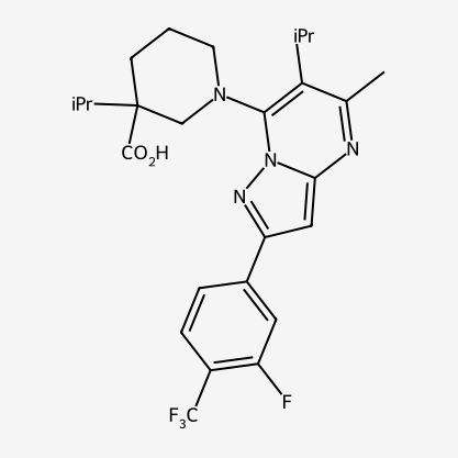 Cc1nc2cc(-c3ccc(C(F)(F)F)c(F)c3)nn2c(N2CCCC(C(=O)O)(C(C)C)C2)c1C(C)C